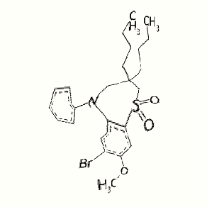 CCCCC1(CCCC)CN(c2ccccc2)c2cc(Br)c(OC)cc2S(=O)(=O)C1